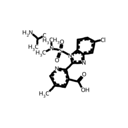 CC(C)N.Cc1cnc(-c2nc3cc(Cl)ccc3n2S(=O)(=O)N(C)C)c(C(=O)O)c1